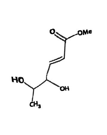 COC(=O)/C=C/C(O)C(C)O